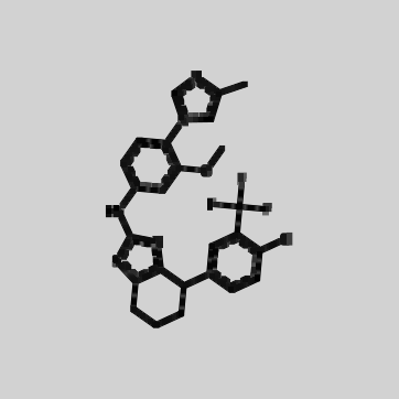 COc1cc(Nc2nc3c(s2)CCCC3c2ccc(Cl)c(C(F)(F)F)c2)ccc1-n1cnc(C)c1